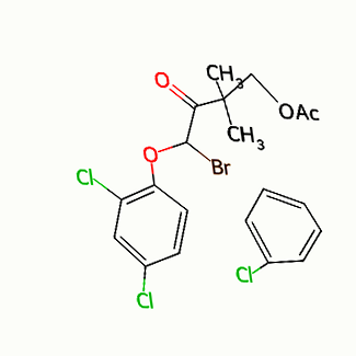 CC(=O)OCC(C)(C)C(=O)C(Br)Oc1ccc(Cl)cc1Cl.Clc1ccccc1